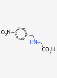 O=C(O)CNCc1ccc([N+](=O)[O-])cc1